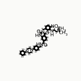 CN(C)CCNc1cc(Cn2c(=O)[nH]c3cc(C(=O)NCc4ccc(N5CCN(c6ccccc6)CC5)cc4)ccc3c2=O)ccc1[N+](=O)[O-]